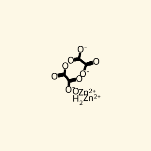 O.O=C([O-])C(=O)[O-].O=C([O-])C(=O)[O-].[Zn+2].[Zn+2]